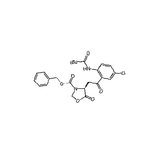 CC(C)(C)C(=O)Nc1ccc(Cl)cc1C(=O)C[C@H]1C(=O)OCN1C(=O)OCc1ccccc1